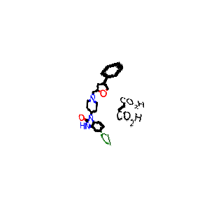 O=C(O)C=CC(=O)O.O=c1[nH]c2cc(Cl)ccc2n1C1CCN(CC2CC(c3ccccc3)CO2)CC1